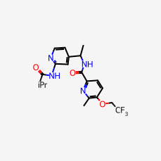 Cc1nc(C(=O)NC(C)c2ccnc(NC(=O)C(C)C)c2)ccc1OCC(F)(F)F